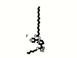 CCCCCCCCCCCCCCCC(=O)OC(C1CCOCC1)[N+]1(C)CCC=C(c2nsnc2OCCCCCC)C1.[I-]